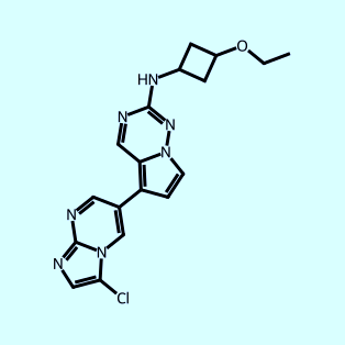 CCOC1CC(Nc2ncc3c(-c4cnc5ncc(Cl)n5c4)ccn3n2)C1